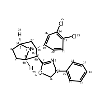 CN1[C@H]2CC[C@@H]1[C@H](C1=NN(c3ccccc3)CO1)[C@@H](c1ccc(Cl)c(Cl)c1)C2